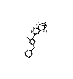 Cc1nn(Cc2ccccc2)cc1-c1cc2c(nn1)[C@@]1(C)CC[C@@H]2C1(C)C